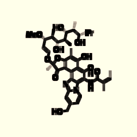 C/C=C(/C)C(=O)Nc1c(O)c2c(O)c(C)c3c(c2c2nc4cc(CO)ccn4c12)C(=O)[C@@](C)(O/C=C/[C@H](OC)[C@@H](C)[C@@H](O)[C@H](C)[C@H](O)[C@H](C)[C@@H](O)C(C)C)O3